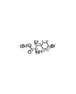 CCC(C(=N)C(=O)OC(C)(C)C)c1ccc(Br)cc1